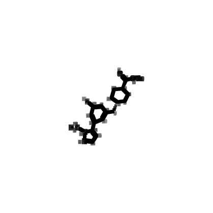 COC(=O)[C@H]1CC[C@H](Cc2cc(F)cc(-c3ccnn3C)c2)CC1